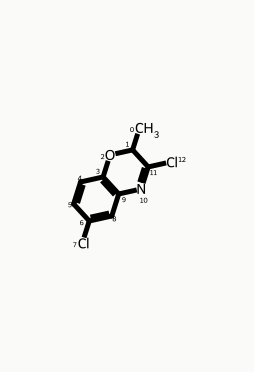 CC1Oc2ccc(Cl)cc2N=C1Cl